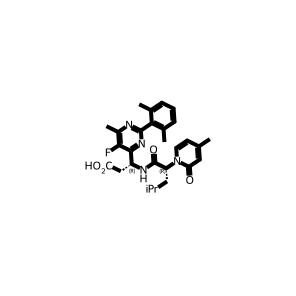 Cc1ccn([C@H](CC(C)C)C(=O)N[C@H](CC(=O)O)c2nc(-c3c(C)cccc3C)nc(C)c2F)c(=O)c1